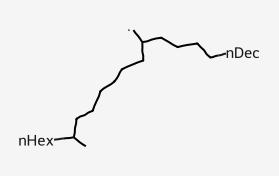 [CH2]C(CCCCCCCCCCCCCC)CCCCCCC(C)CCCCCC